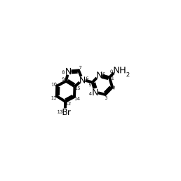 Nc1ccnc(-n2cnc3ccc(Br)cc32)n1